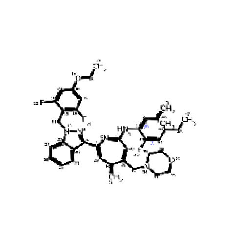 C=C/C=C(NC1=NC(c2nn(Cc3c(F)cc(OCC)cc3F)c3ccccc23)=CC(=C)C(CN2CCOCC2)=C1)\C(F)=C/C(C)CC